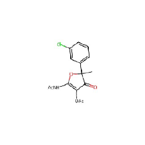 CC(=O)NC1=C(OC(C)=O)C(=O)C(C)(c2cccc(Cl)c2)O1